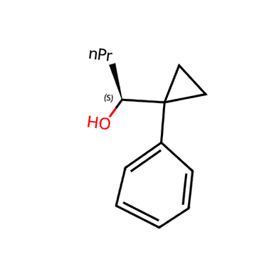 CCC[C@H](O)C1(c2ccccc2)CC1